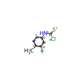 Cc1ccc(NC(=S)Cl)cc1F